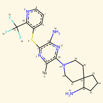 [2H]c1nc(Sc2cccnc2C(F)(F)F)c(N)nc1N1CCC2(CCCC2N)CC1